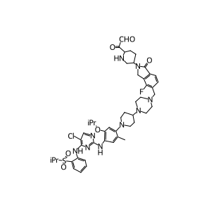 Cc1cc(Nc2ncc(Cl)c(Nc3ccccc3S(=O)(=O)C(C)C)n2)c(OC(C)C)cc1N1CCC(N2CCN(Cc3ccc4c(c3F)CN(C3CCC(C(=O)C=O)NC3)C4=O)CC2)CC1